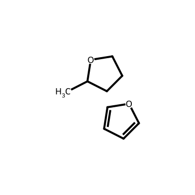 CC1CCCO1.c1ccoc1